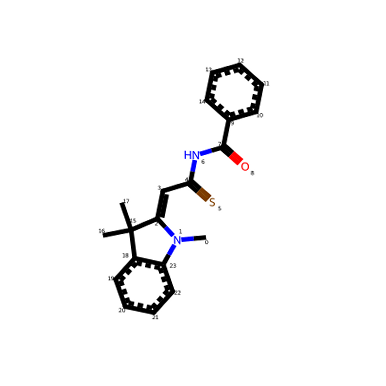 CN1C(=CC(=S)NC(=O)c2ccccc2)C(C)(C)c2ccccc21